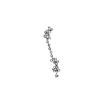 O=C1CCC(N2C(=O)c3cccc(NCCOCCOCCOCCOCCOCCNC(=O)c4cc5cc(N6CCC(O)(C(=O)NCCc7cccs7)C6=O)ccc5[nH]4)c3C2=O)C(=O)N1